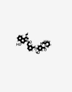 CC[C@@H]1CN(C(=O)Cc2cccc(COc3cc4c(cc3OC)C(=O)N3CCCC[C@H]3C=N4)c2)c2cc(O)c3ccccc3c21